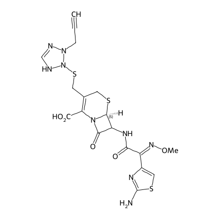 C#CCN1N=CNN1SCC1=C(C(=O)O)N2C(=O)C(NC(=O)C(=NOC)c3csc(N)n3)[C@@H]2SC1